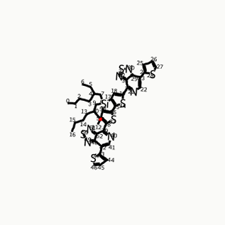 CCCCC(CC)C[Si]1(CC(CC)CCCC)c2cc(-c3ncc(-c4cccs4)c4nsnc34)sc2-c2sc(-c3ncc(-c4cccs4)c4nsnc34)cc21